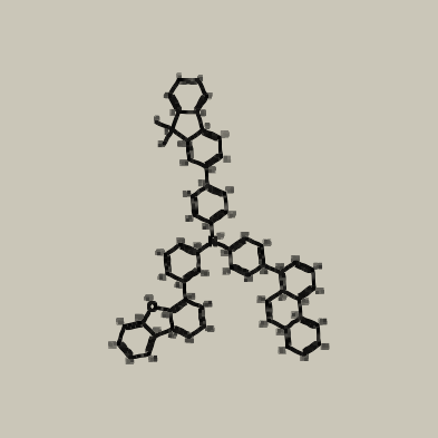 CC1(C)c2ccccc2-c2ccc(-c3ccc(N(c4ccc(-c5cccc6c5ccc5ccccc56)cc4)c4cccc(-c5cccc6c5oc5ccccc56)c4)cc3)cc21